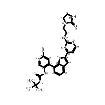 CC(C)(C)OC(=O)Nc1cnc(F)cc1-c1cccc2cc(-c3ccnc(NCCN4CCNC4=O)n3)sc12